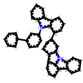 c1ccc(-c2cccc(-n3c4ccccc4c4cccc(-c5ccc6c7cccc8c9ccccc9n(c6c5)c87)c43)c2)cc1